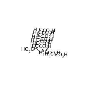 CC(=O)CCC(=O)O.CC(=O)O.CC(=O)O.CC(=O)O.CC(=O)O.CC(=O)O.CC(=O)O.CC(=O)O.CC(=O)O.CC(=O)O